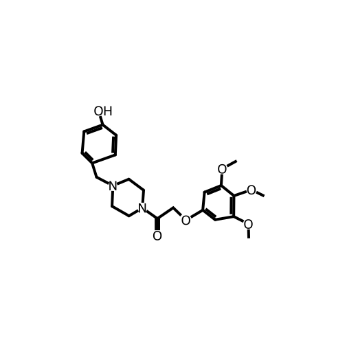 COc1cc(OCC(=O)N2CCN(Cc3ccc(O)cc3)CC2)cc(OC)c1OC